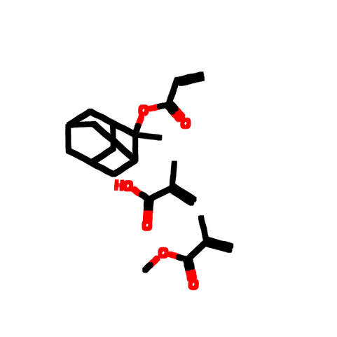 C=C(C)C(=O)O.C=C(C)C(=O)OC.C=CC(=O)OC1(C)C2CC3CC(C2)CC1C3